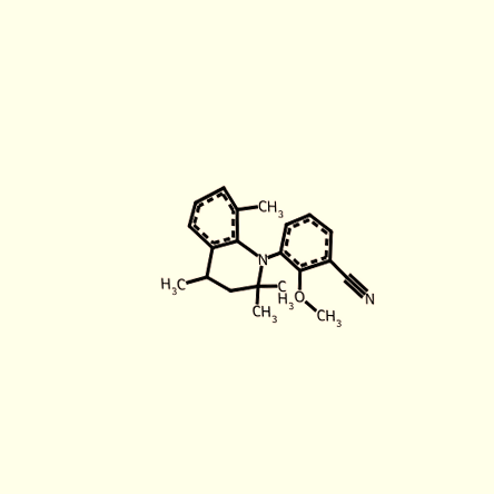 COc1c(C#N)cccc1N1c2c(C)cccc2C(C)CC1(C)C